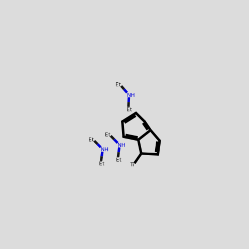 CCNCC.CCNCC.CCNCC.[Ti][CH]1C=Cc2ccccc21